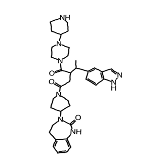 CC(c1ccc2[nH]ncc2c1)C(CC(=O)N1CCC(N2CCc3ccccc3NC2=O)CC1)C(=O)N1CCN(C2CCNCC2)CC1